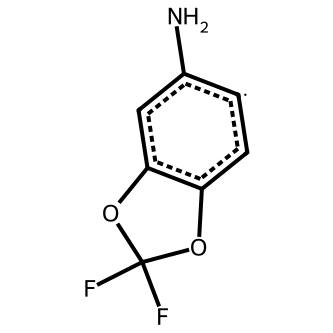 Nc1[c]cc2c(c1)OC(F)(F)O2